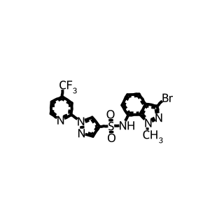 Cn1nc(Br)c2cccc(NS(=O)(=O)c3cnn(-c4cc(C(F)(F)F)ccn4)c3)c21